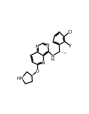 C[C@H](Nc1ncnc2ccc(O[C@H]3CCNC3)nc12)c1cccc(Cl)c1F